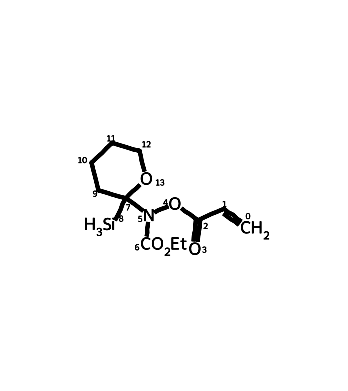 C=CC(=O)ON(C(=O)OCC)C1([SiH3])CCCCO1